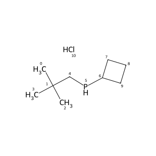 CC(C)(C)CPC1CCC1.Cl